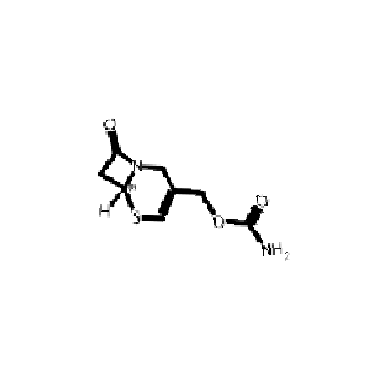 NC(=O)OCC1=CS[C@@H]2CC(=O)N2C1